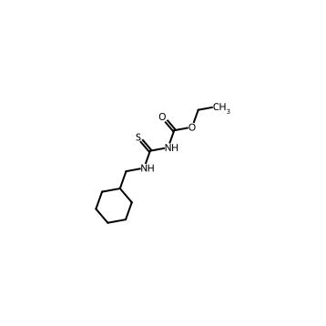 CCOC(=O)NC(=S)NCC1CCCCC1